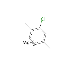 Cc1ccc(C)c(Cl)c1.[MgH2]